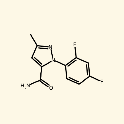 Cc1cc(C(N)=O)n(-c2ccc(F)cc2F)n1